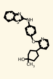 CC1(O)CCC(c2cccnc2Oc2ccc(Nc3nc4ccccc4s3)cc2)CC1